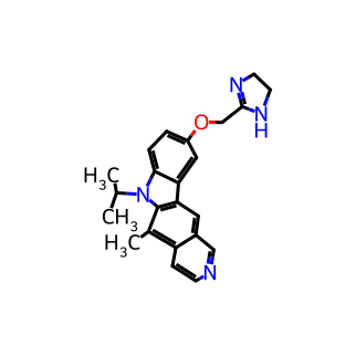 Cc1c2ccncc2cc2c3cc(OCC4=NCCN4)ccc3n(C(C)C)c12